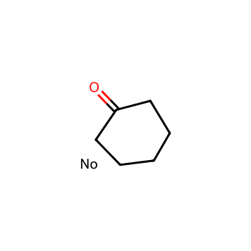 O=C1CCCCC1.[No]